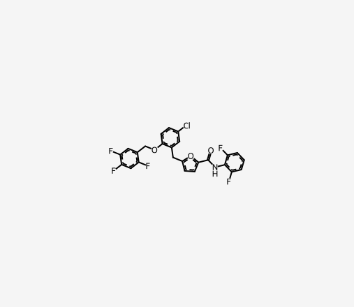 O=C(Nc1c(F)cccc1F)c1ccc(Cc2cc(Cl)ccc2OCc2cc(F)c(F)cc2F)o1